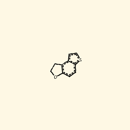 c1cc2c3c(ccc2s1)OCC3